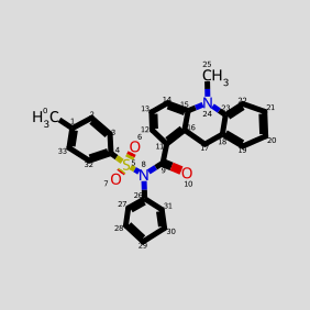 Cc1ccc(S(=O)(=O)N(C(=O)c2cccc3c2Cc2ccccc2N3C)c2ccccc2)cc1